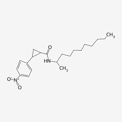 CCCCCCCCCC(C)NC(=O)C1CC1c1ccc([N+](=O)[O-])cc1